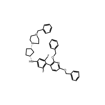 Fc1cc(N[C@@H]2CC[C@H](N3CCN(Cc4ccccc4)CC3)C2)cc(F)c1-c1ccc(OCc2ccccc2)nc1OCc1ccccc1